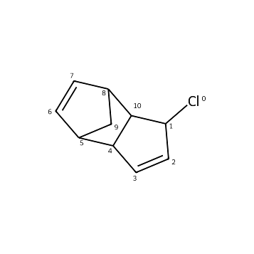 ClC1C=CC2C3C=CC(C3)C12